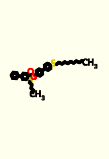 CCCCCCCCCCCSc1ccc(-c2ccc(OC(=O)C3(SCCCCC)C=CC(c4ccccc4)=CC3)cc2)cc1